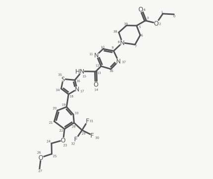 CCOC(=O)C1CCN(c2cnc(C(=O)Nc3nc(-c4ccc(OCCOC)c(C(F)(F)F)c4)cs3)cn2)CC1